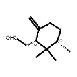 C=C1CC[C@H](C)C(C)(C)[C@@H]1CC=O